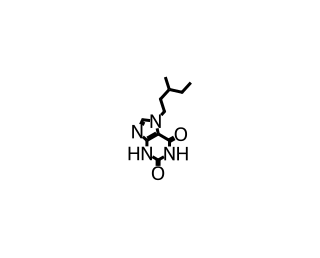 CCC(C)CCn1cnc2[nH]c(=O)[nH]c(=O)c21